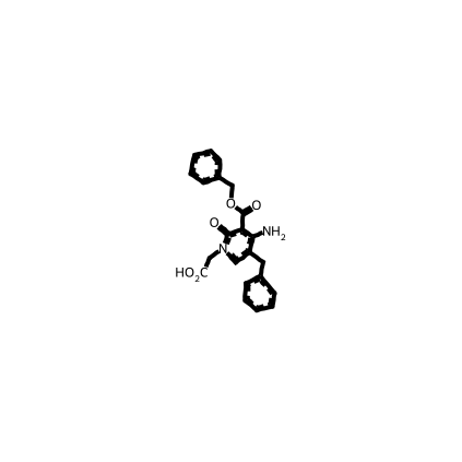 Nc1c(Cc2ccccc2)cn(CC(=O)O)c(=O)c1C(=O)OCc1ccccc1